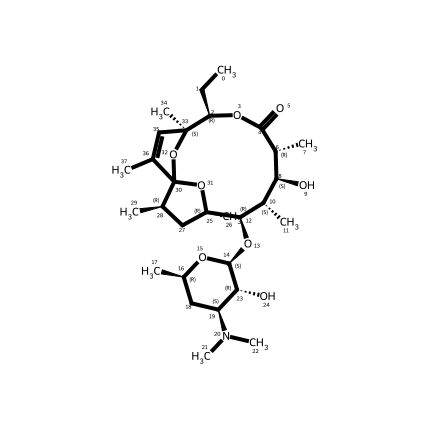 CC[C@H]1OC(=O)[C@H](C)[C@@H](O)[C@H](C)[C@@H](O[C@@H]2O[C@H](C)C[C@H](N(C)C)[C@H]2O)[C@@]2(C)C[C@@H](C)C3(O2)O[C@@]1(C)C=C3C